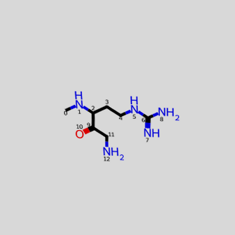 CNC(CCNC(=N)N)C(=O)CN